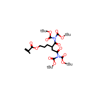 C=C(C)C(=O)OCCCC(CC(=O)N(C(=O)OC(C)(C)C)C(=O)OC(C)(C)C)C(=O)N(C(=O)OC(C)(C)C)C(=O)OC(C)(C)C